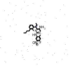 C/C=C(\c1cccc(CCCC)c1C)c1nc(Nc2cc([N+](=O)[O-])c(F)cc2C)ncc1N